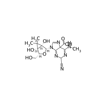 CNC1=NC(C#N)N=C2N([C@@H]3O[C@H](CO)[C@@]4(O)C(C)(C)[C@@]34O)C=NC12C(=O)O